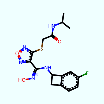 CC(C)NC(=O)CSc1nonc1/C(=N\O)NC1Cc2ccc(F)cc21